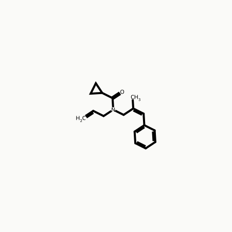 C=CCN(C/C(C)=C\c1ccccc1)C(=O)C1CC1